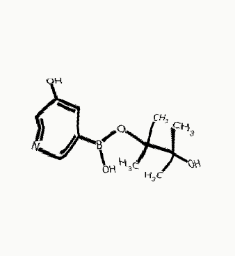 CC(C)(O)C(C)(C)OB(O)c1cncc(O)c1